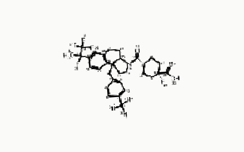 [2H]C([2H])([2H])c1ccc(CC23CCN(C(=O)[C@H]4CC[C@](F)(C(=O)O)CC4)C2CCc2cc(C(C)(F)C(F)(F)F)ccc23)cc1